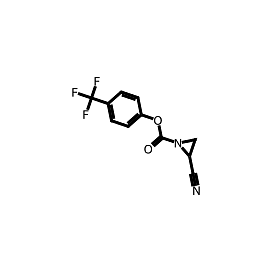 N#CC1CN1C(=O)Oc1ccc(C(F)(F)F)cc1